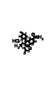 Cc1ccc(-c2c(CN)n(CC(C)C)c(=O)c3ccc(C(N)=O)cc23)cc1.Cl